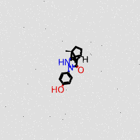 CC1(C)[C@@H]2CC[C@@]1(C)c1[nH]n(-c3ccc(O)cc3)c(=O)c12